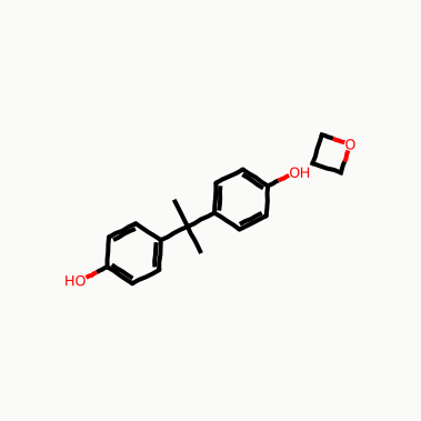 C1COC1.CC(C)(c1ccc(O)cc1)c1ccc(O)cc1